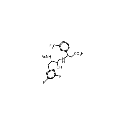 CC(=O)N[C@@H](Cc1cc(F)cc(F)c1)[C@H](O)CNC(CC(=O)O)c1cccc(C(F)(F)F)c1